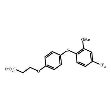 CCOC(=O)CCOc1ccc(Sc2ccc(C(F)(F)F)cc2OC)cc1